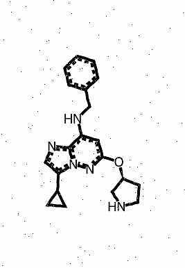 c1ccc(CNc2cc(O[C@H]3CCNC3)nn3c(C4CC4)cnc23)cc1